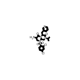 CC(C)N1CC2N(C(=O)C(N)CN2S(=O)(=O)c2ccc(Cl)cc2Cl)C(Cc2cccnc2)C1=O